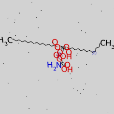 CCCC/C=C\CCCCCCCC(=O)O[C@H](COC(=O)CCCCCCCCCCCCCCC)COP(=O)(O)OC[C@H](N)C(=O)O